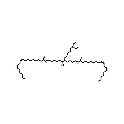 CCCCC/C=C\C/C=C\CCCCCCCC(=O)OCCCCCC(O)C(CCCCOC(=O)CCCCCCC/C=C\C/C=C\CCCCC)CNCCCN(CC)CC